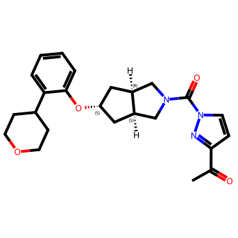 CC(=O)c1ccn(C(=O)N2C[C@H]3C[C@H](Oc4ccccc4C4CCOCC4)C[C@H]3C2)n1